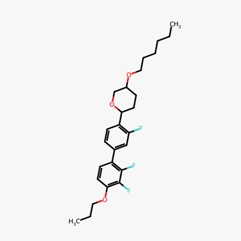 CCCCCCOC1CCC(c2ccc(-c3ccc(OCCC)c(F)c3F)cc2F)OC1